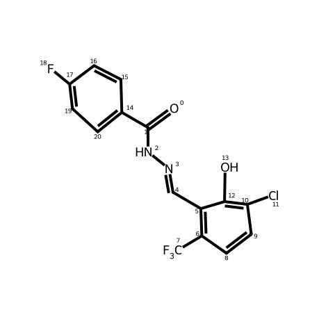 O=C(N/N=C/c1c(C(F)(F)F)ccc(Cl)c1O)c1ccc(F)cc1